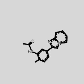 CC(=O)Nc1cc(-c2cn3ccccc3n2)ccc1C